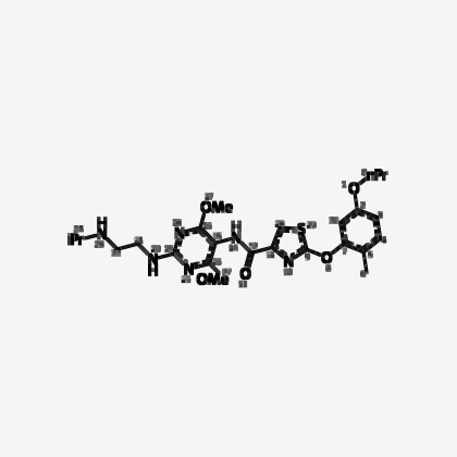 CCCOc1ccc(C)c(Oc2nc(C(=O)Nc3c(OC)nc(NCCNC(C)C)nc3OC)cs2)c1